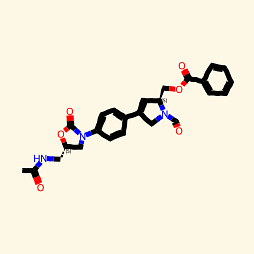 CC(=O)NC[C@H]1CN(c2ccc(C3=C[C@@H](COC(=O)c4ccccc4)N(C=O)C3)cc2)C(=O)O1